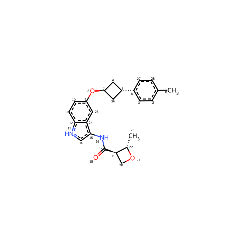 Cc1ccc([C@H]2C[C@H](Oc3ccc4[nH]cc(NC(=O)[C@@H]5CO[C@H]5C)c4c3)C2)cc1